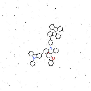 c1ccc(-n2c3ccccc3c3cc(-c4ccc(N(c5ccc(-c6cccc7c6-c6ccccc6C76c7ccccc7-c7ccccc76)cc5)c5ccccc5-c5cccc6c5oc5ccccc56)cc4)ccc32)cc1